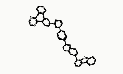 c1cc(-c2ccc(-c3ccc4cc(-c5cccc6c5sc5ccccc56)ccc4c3)cc2)cc(-c2ccc3c(c2)c2ccccc2c2nccnc32)c1